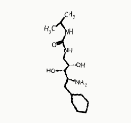 CC(C)NC(=O)NC[C@H](O)[C@H](O)[C@@H](N)CC1CCCCC1